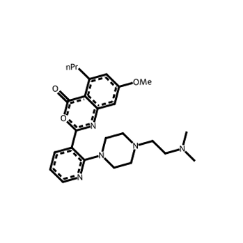 CCCc1cc(OC)cc2nc(-c3cccnc3N3CCN(CCN(C)C)CC3)oc(=O)c12